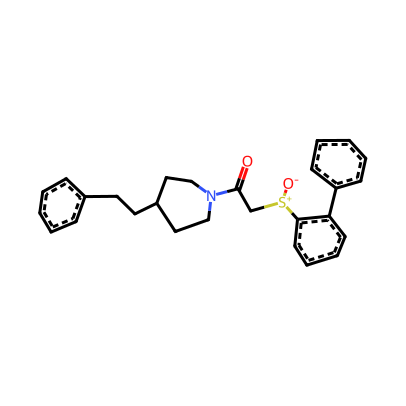 O=C(C[S+]([O-])c1ccccc1-c1ccccc1)N1CCC(CCc2ccccc2)CC1